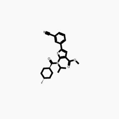 COC(=O)c1cc(-c2cccc(C#N)c2)sc1N(C(=O)[C@H]1CC[C@H](C)CC1)C(C)C